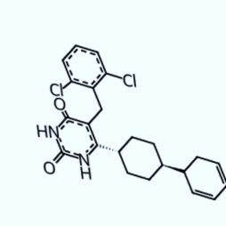 O=c1[nH]c(=O)c(Cc2c(Cl)cccc2Cl)c([C@H]2CC[C@H](C3C=CC=CC3)CC2)[nH]1